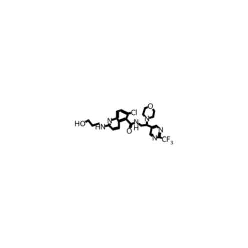 O=C(NCC(c1cnc(C(F)(F)F)nc1)N1CCOCC1)c1c(Cl)ccc2nc(NCCCO)ccc12